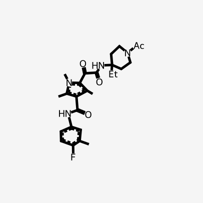 CCC1(NC(=O)C(=O)c2c(C)c(C(=O)Nc3ccc(F)c(C)c3)c(C)n2C)CCN(C(C)=O)CC1